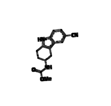 COC(=O)NC1CCc2[nH]c3ccc(C#N)cc3c2C1